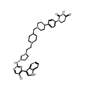 O=C1CCN(c2ccc(C3CCN(CC4CCN(CCN5CC[C@@H](Nc6ncc(Cl)c(-c7c[nH]c8ccccc78)n6)C5)CC4)CC3)cc2)C(=O)N1